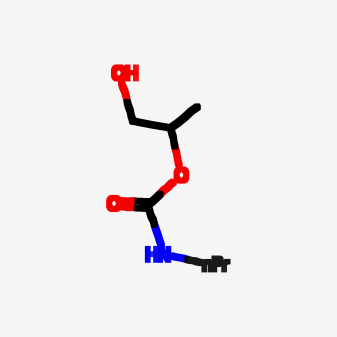 CCCNC(=O)OC(C)CO